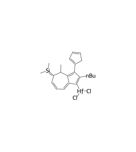 CCCCC1=[C]([Hf]([Cl])[Cl])C2=CC=CC(=[Si](C)C)C(C)C2=C1C1=CC=CC1